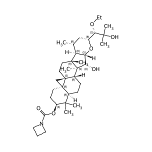 CCO[C@@H]([C@H]1C[C@@H](C)[C@H]2[C@H](O1)[C@H](O)[C@@]1(C)[C@@H]3CC[C@H]4C(C)(C)[C@@H](OC(=O)N5CCC5)CC[C@@]45C[C@@]35CC[C@]21C)C(C)(C)O